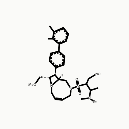 CCN(C)C(C)C(CN=O)S(=O)(=O)N1C/C=C\CN2[C@H](COC)[C@@H](c3ccc(-c4cccc(C)c4C)cc3)[C@@H]2C1